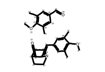 COc1c(C)cc(C=C2C(=O)C3CCN2CC3)cc1C.COc1c(C)cc(C=O)cc1C